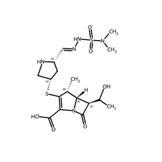 CC(O)[C@H]1C(=O)N2C(C(=O)O)=C(S[C@@H]3CN[C@H](C=NNS(=O)(=O)N(C)C)C3)[C@H](C)[C@H]12